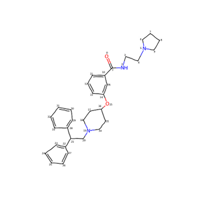 O=C(NCCN1CCCC1)c1cccc(OC2CCN(CC(c3ccccc3)c3ccccc3)CC2)c1